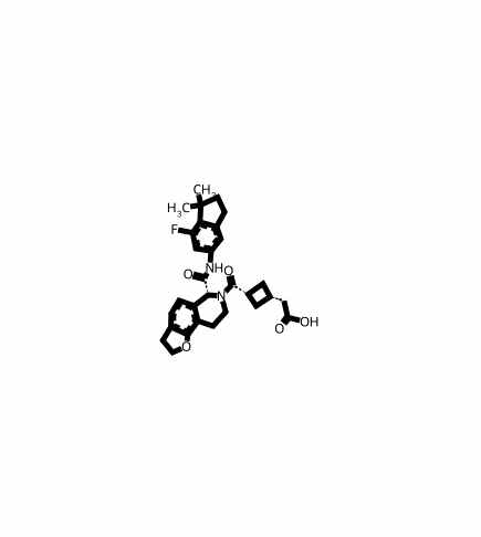 CC1(C)CCc2cc(NC(=O)[C@H]3c4ccc5c(c4CCN3C(=O)[C@H]3C[C@@H](CC(=O)O)C3)OCC5)cc(F)c21